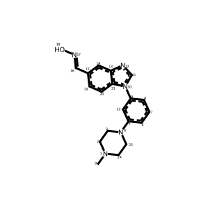 CN1CCN(c2cccc(-n3cnc4cc(C=NO)ccc43)c2)CC1